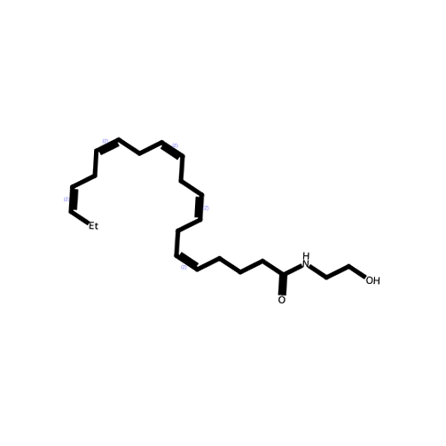 CC/C=C\C/C=C\C/C=C\C/C=C\C/C=C\CCCC(=O)NCCO